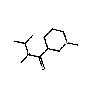 CC(C)N(C)C(=O)C1CCCN(C)C1